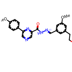 COc1ccc(-c2cncc(C(=O)N/N=C/c3cc(CCO)cc(OC)c3)n2)cc1